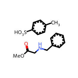 COC(=O)CNCc1ccccc1.Cc1ccc(S(=O)(=O)O)cc1